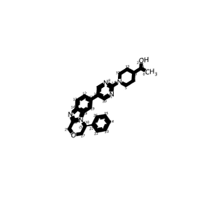 CC(O)C1CCN(c2ncc(-c3ccc4nc5n(c4c3)[C@@H](c3ccccc3)COC5)cn2)CC1